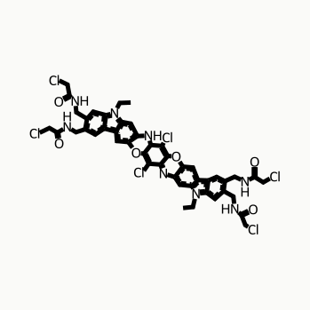 CCn1c2cc(CNC(=O)CCl)c(CNC(=O)CCl)cc2c2cc3c(cc21)N=C1C(Cl)=C2Oc4cc5c6cc(CNC(=O)CCl)c(CNC(=O)CCl)cc6n(CC)c5cc4NC2C(Cl)=C1O3